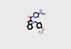 CC(C)NC1CCN(C(=O)c2cc3ccccc3n2Cc2ccc(OC(F)(F)F)cc2)CC1